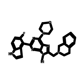 CCn1c(CN2CCc3ccccc3C2)nc2c(N3CCOCC3)nc(-c3c(F)ccc4[nH]ccc34)nc21